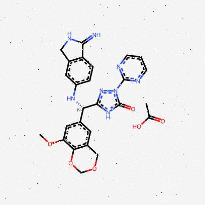 CC(=O)O.COc1cc([C@H](Nc2ccc3c(c2)CNC3=N)c2nn(-c3ncccn3)c(=O)[nH]2)cc2c1OCOC2